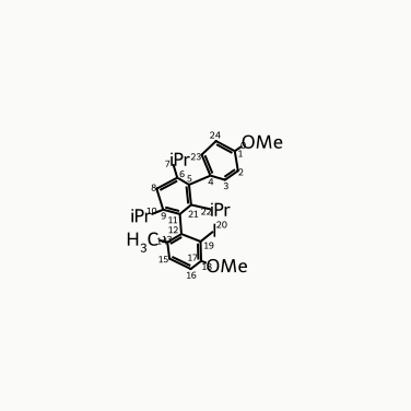 COc1ccc(-c2c(C(C)C)cc(C(C)C)c(-c3c(C)ccc(OC)c3I)c2C(C)C)cc1